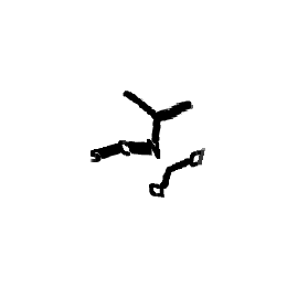 CC(C)N=C=S.ClCCl